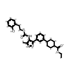 CCOC(=O)C1CCC(c2cccc(-c3onc(C)c3NC(=O)OCCc3ccccc3Cl)c2)CC1